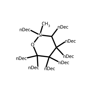 CCCCCCCCCCC1C(CCCCCCCCCC)(CCCCCCCCCC)C(CCCCCCCCCC)(CCCCCCCCCC)C(CCCCCCCCCC)(CCCCCCCCCC)O[Si]1(C)CCCCCCCCCC